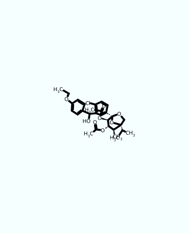 CCOc1ccc(C(O)c2cc([C@]34OC[C@](C(C)C)(O3)[C@@H](C)[C@H](OC(C)=O)[C@H]4OC(C)=O)ccc2Cl)cc1